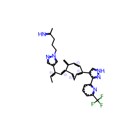 C=C1\C=C/C(c2c[nH]nc2-c2cccc(C(F)(F)F)n2)=C/C=C/C1=C/C(=C\C)c1cnn(CCCC(C)=N)c1